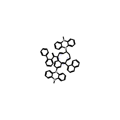 C=C(C1=c2\ccc(N3c4ccccc4N(C)c4ccccc43)c\c2=C(c2cccc3ccccc23)\C=C\CC(N2c3ccccc3N(C)c3ccccc32)\C=C\1)c1ccccc1-c1ccccc1